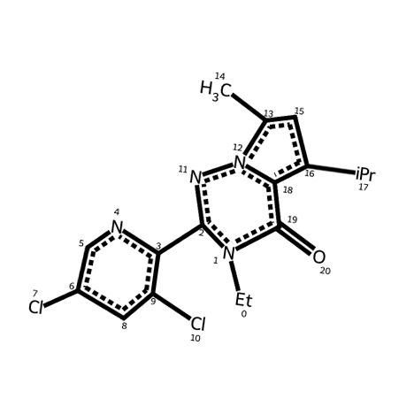 CCn1c(-c2ncc(Cl)cc2Cl)nn2c(C)cc(C(C)C)c2c1=O